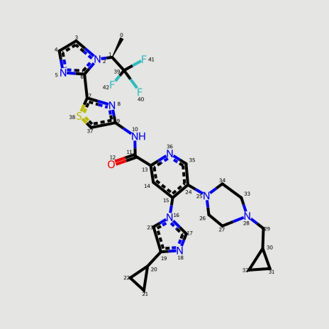 C[C@H](n1ccnc1-c1nc(NC(=O)c2cc(-n3cnc(C4CC4)c3)c(N3CCN(CC4CC4)CC3)cn2)cs1)C(F)(F)F